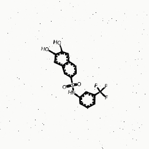 O=S(=O)(Nc1cccc(C(F)(F)F)c1)c1ccc2cc(O)c(O)cc2c1